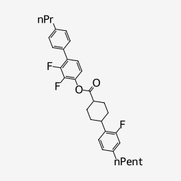 CCCCCc1ccc(C2CCC(C(=O)Oc3ccc(-c4ccc(CCC)cc4)c(F)c3F)CC2)c(F)c1